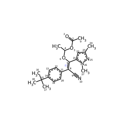 CC(=O)OC(C)O/C(=C(/C#N)c1ccc(C(C)(C)C)cc1)c1cc(C)nn1C